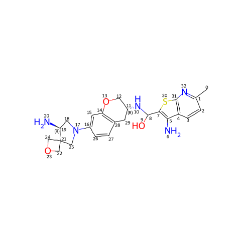 Cc1ccc2c(N)c(C(O)N[C@H]3COc4cc(N5C[C@H](N)C6(COC6)C5)ccc4C3)sc2n1